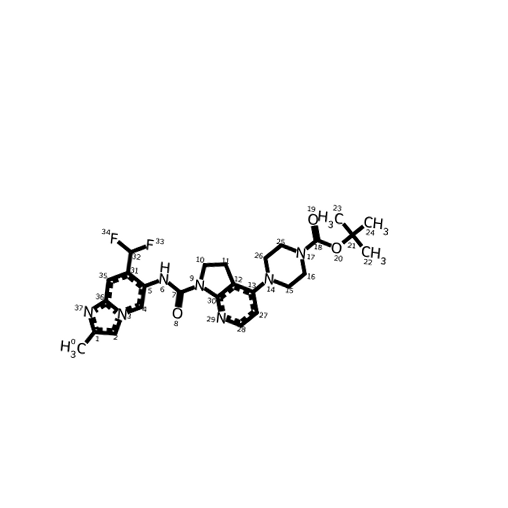 Cc1cn2cc(NC(=O)N3CCc4c(N5CCN(C(=O)OC(C)(C)C)CC5)ccnc43)c(C(F)F)cc2n1